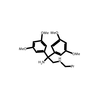 COc1cc(OC)cc(C(N)(CNCC(C)C)c2cc(OC)cc(OC)c2)c1